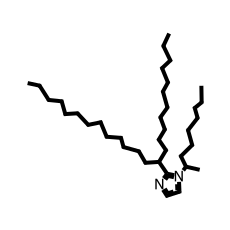 CCCCCCCCCCCCCC(CCCCCCCCCCC)c1nccn1C(C)CCCCCCC